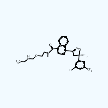 O=C(NCCOCNCC(F)(F)F)c1ccc(C2=NO[C@@](c3cc(Cl)cc(C(F)(F)F)c3)(C(F)(F)F)C2)c2ccccc12